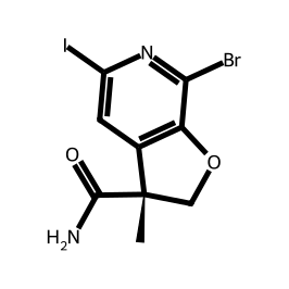 C[C@]1(C(N)=O)COc2c1cc(I)nc2Br